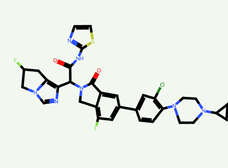 O=C(Nc1nccs1)C(c1ncn2c1CC(F)C2)N1Cc2c(F)cc(-c3ccc(N4CCN(C5CC5)CC4)c(Cl)c3)cc2C1=O